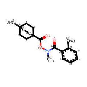 CN(OC(=O)C12CCC(C=O)(CC1)CC2)C(=O)c1ccccc1C=O